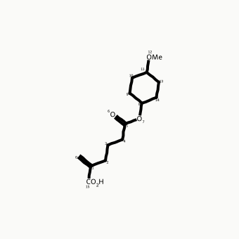 C=C(CCCC(=O)OC1CCC(OC)CC1)C(=O)O